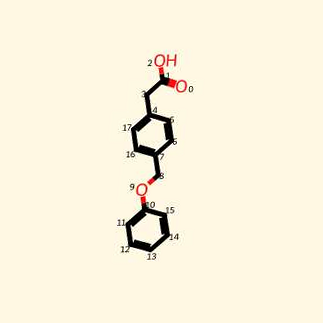 O=C(O)Cc1ccc(COc2ccccc2)cc1